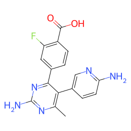 Cc1nc(N)nc(-c2ccc(C(=O)O)c(F)c2)c1-c1ccc(N)nc1